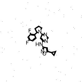 Fc1ccc(C2CCCN2c2cc(Nc3cc(C4CC4)on3)ncn2)c(F)c1